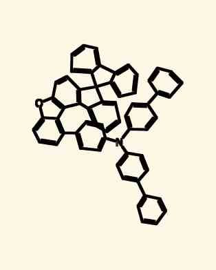 c1ccc(-c2ccc(N(c3ccc(-c4ccccc4)cc3)c3ccc(-c4cccc5oc6ccc7c(c6c45)-c4ccccc4C74c5ccccc5-c5ccccc54)cc3)cc2)cc1